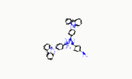 N#Cc1ccc(-c2nc(-c3ccc(-n4c5ccccc5c5ccccc54)cc3)nc(-c3ccc(-n4c5ccccc5c5ccccc54)cc3)n2)cc1